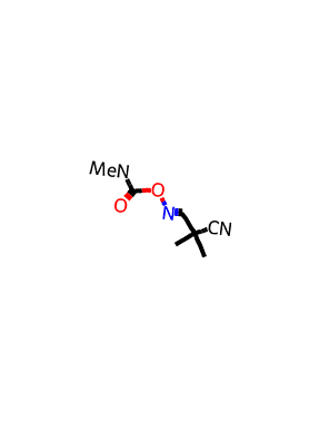 CNC(=O)ON=CC(C)(C)C#N